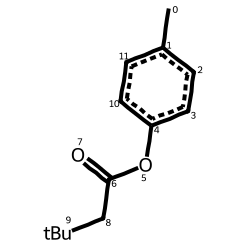 Cc1ccc(OC(=O)CC(C)(C)C)cc1